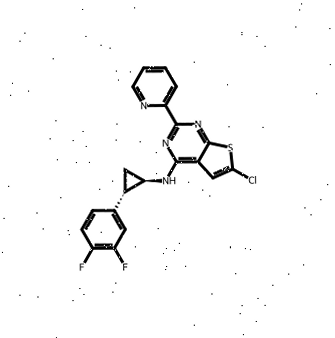 Fc1ccc([C@@H]2C[C@H]2Nc2nc(-c3ccccn3)nc3sc(Cl)cc23)cc1F